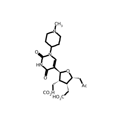 CC(=O)C[C@H]1O[C@H](c2cn(C3CCN(C)CC3)c(=O)[nH]c2=O)[C@@H](CC(=O)O)[C@H]1CC(=O)O